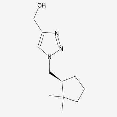 CC1(C)CCC[C@@H]1Cn1cc(CO)nn1